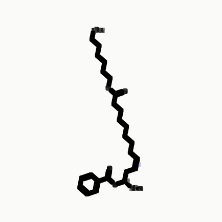 CCCCCCCCCCCCCCCCOC(=O)CCCCCCC/C=C\C[C@@H](CCCCCC)OC(=O)c1ccccc1